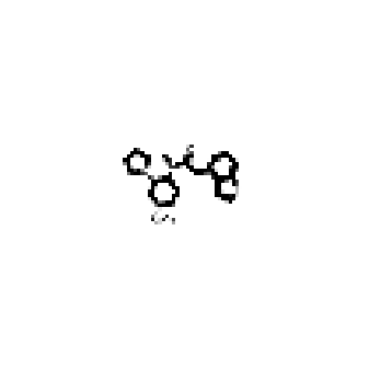 CO[C@H]1CC[C@@H](N(C)C(=O)Cc2cccc3occc23)[C@H](N2CCCC2)C1